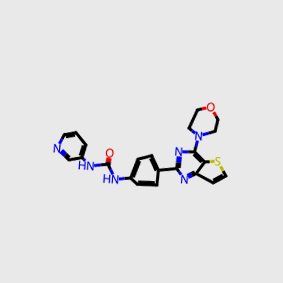 O=C(Nc1ccc(-c2nc(N3CCOCC3)c3sccc3n2)cc1)Nc1cccnc1